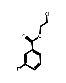 O=C(OCCCl)c1cccc(F)c1